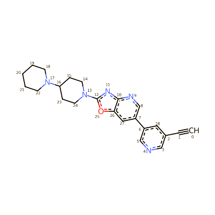 C#Cc1cncc(-c2cnc3nc(N4CCC(N5CCCCC5)CC4)oc3c2)c1